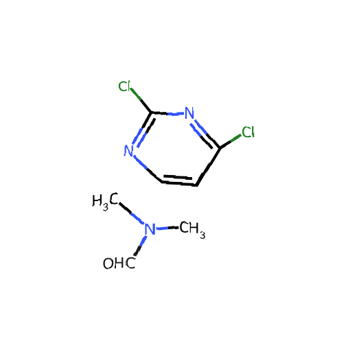 CN(C)C=O.Clc1ccnc(Cl)n1